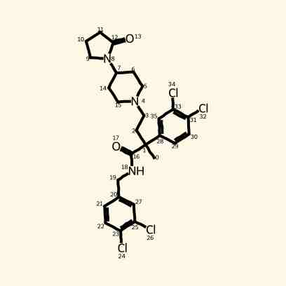 CC(CCN1CCC(N2CCCC2=O)CC1)(C(=O)NCc1ccc(Cl)c(Cl)c1)c1ccc(Cl)c(Cl)c1